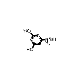 Nc1cc(O)nc(O)n1.[NaH]